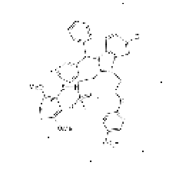 COc1ccc(OC)c(SN(CCc2c(CCOc3ccc(C(=O)O)cc3)c3cc(Cl)ccc3n2C(c2ccccc2)c2ccccc2)S(C)(=O)=O)c1